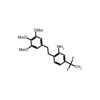 COc1cc(CCc2ccc(C(C)(F)F)cc2N)cc(OC)c1OC